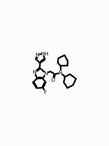 O=C(Cn1c(-c2cn[nH]c2)nc2ccc(F)cc21)N(C1CCCCC1)C1CCCCC1